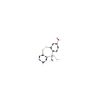 NCCC1(C(N)=O)c2ccc(C(N)=O)cc2CCc2ccc(F)cc21